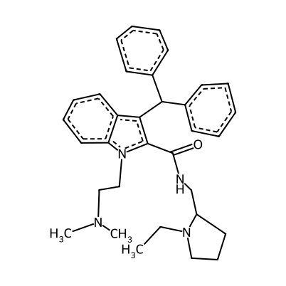 CCN1CCCC1CNC(=O)c1c(C(c2ccccc2)c2ccccc2)c2ccccc2n1CCN(C)C